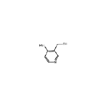 OCc1cncc[c]1[SnH]